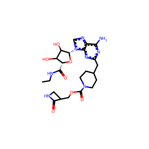 CCNC(=O)[C@H]1O[C@@H](n2cnc3c(N)nc(CC4CCN(C(=O)OCC5CNC5=O)CC4)nc32)C(O)C1O